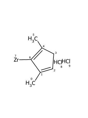 CC1=CCC(C)=[C]1[Zr].Cl.Cl